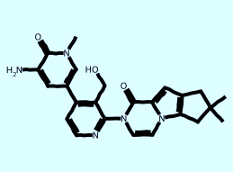 Cn1cc(-c2ccnc(-n3ccn4c5c(cc4c3=O)CC(C)(C)C5)c2CO)cc(N)c1=O